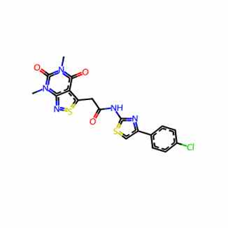 Cn1c(=O)c2c(CC(=O)Nc3nc(-c4ccc(Cl)cc4)cs3)snc2n(C)c1=O